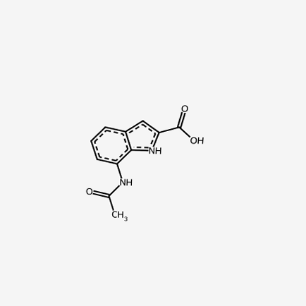 CC(=O)Nc1cccc2cc(C(=O)O)[nH]c12